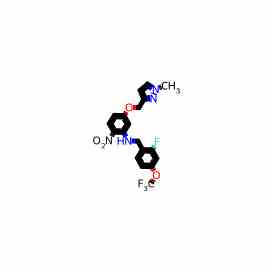 Cn1ccc(COc2ccc([N+](=O)[O-])c(NCc3ccc(OC(F)(F)F)cc3F)c2)n1